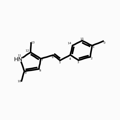 Cc1ccc(C=Cc2cc(C)[nH]c2C)cc1